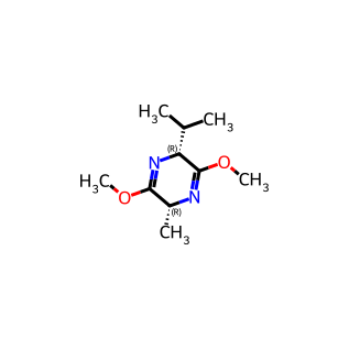 COC1=N[C@H](C(C)C)C(OC)=N[C@@H]1C